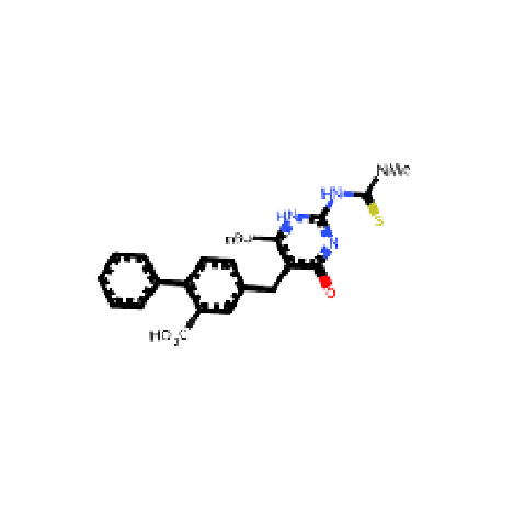 CCCCc1[nH]c(NC(=S)NC)nc(=O)c1Cc1ccc(-c2ccccc2)c(C(=O)O)c1